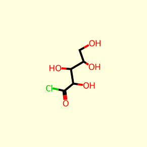 O=C(Cl)C(O)C(O)C(O)CO